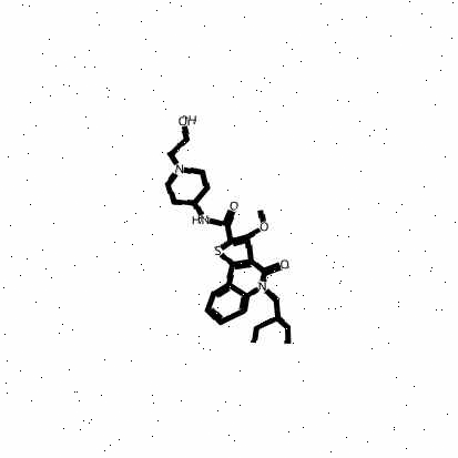 CCC(CC)Cn1c(=O)c2c(OC)c(C(=O)NC3CCN(CCO)CC3)sc2c2ccccc21